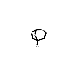 CC12CCOC(OC1)O2